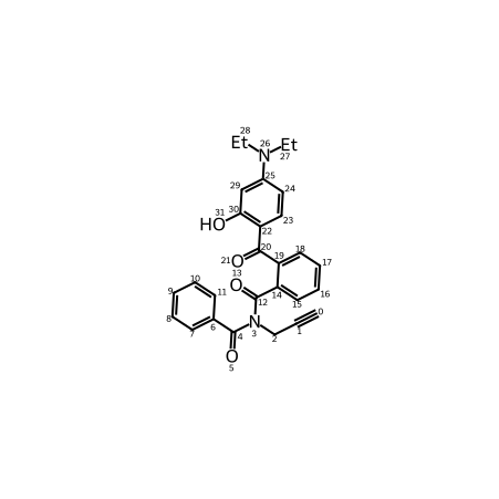 C#CCN(C(=O)c1ccccc1)C(=O)c1ccccc1C(=O)c1ccc(N(CC)CC)cc1O